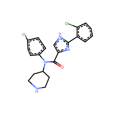 O=C(c1c[nH]c(-c2ccccc2Cl)n1)N(c1ccc(Cl)cc1)C1CCNCC1